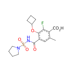 Cc1cc(C(=O)NS(=O)(=O)N2CCCC2)c(OC2CCC2)c(F)c1C(=O)O